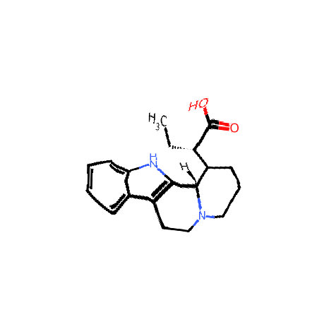 CC[C@H](C(=O)O)C1CCCN2CCc3c([nH]c4ccccc34)[C@H]12